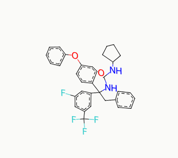 O=C(NC1CCCC1)NC(Cc1ccccc1)(c1ccc(Oc2ccccc2)cc1)c1cc(F)cc(C(F)(F)F)c1